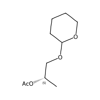 CC(=O)O[C@@H](C)COC1CCCCO1